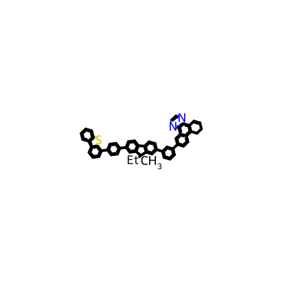 CCC1(C)c2cc(-c3ccc(-c4cccc5c4sc4ccccc45)cc3)ccc2-c2ccc(-c3cccc(-c4ccc5c6c(c7nccnc7c5c4)C=CCC6)c3)cc21